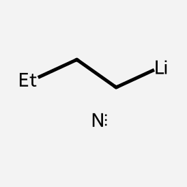 [Li][CH2]CCC.[N]